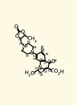 CC1OC(=O)OC1CN1CCN(c2cc3c(cc2F)c(=O)c(C(=O)O)c2n3C(C)S2)CC1